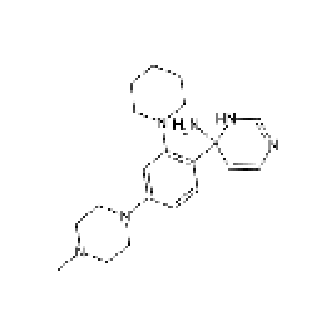 CN1CCN(c2ccc(C3(N)C=CN=CN3)c(N3CCCCC3)c2)CC1